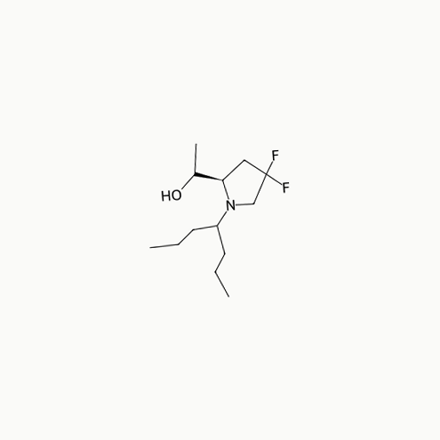 CCCC(CCC)N1CC(F)(F)C[C@@H]1C(C)O